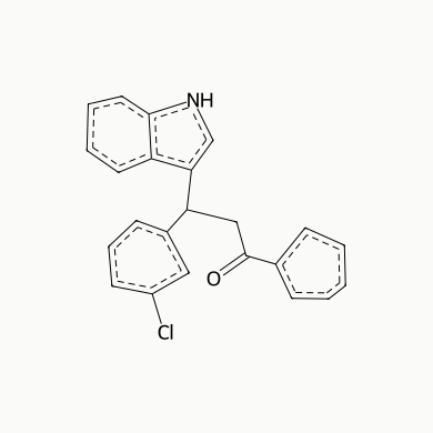 O=C(CC(c1cccc(Cl)c1)c1c[nH]c2ccccc12)c1ccccc1